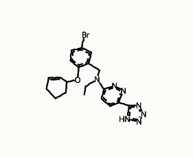 CCN(Cc1cc(Br)ccc1OC1C=CCCC1)c1ccc(-c2nnn[nH]2)nn1